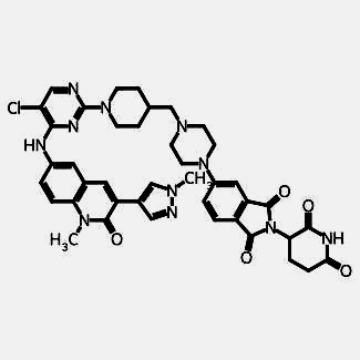 Cn1cc(-c2cc3cc(Nc4nc(N5CCC(CN6CCN(c7ccc8c(c7)C(=O)N(C7CCC(=O)NC7=O)C8=O)CC6)CC5)ncc4Cl)ccc3n(C)c2=O)cn1